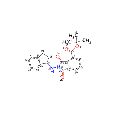 CC(C)(C)OC(=O)c1cccc2c1C(=O)N(NC1CCc3ccccc31)C2=O